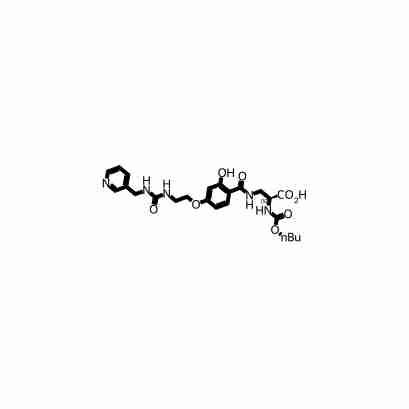 CCCCOC(=O)N[C@@H](CNC(=O)c1ccc(OCCNC(=O)NCc2cccnc2)cc1O)C(=O)O